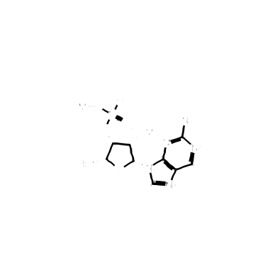 CC[C@H]1O[C@@H](n2cnc3cnc(N)nc32)[C@@H](OC)[C@H]1OP(=O)(O)OC